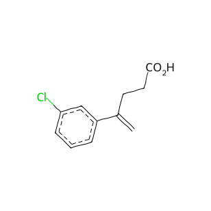 C=C(CCC(=O)O)c1cccc(Cl)c1